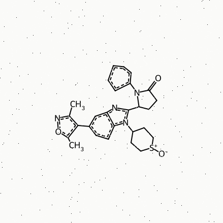 Cc1noc(C)c1-c1ccc2c(c1)nc(C1CCC(=O)N1c1ccccc1)n2C1CC[S+]([O-])CC1